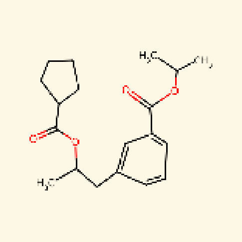 CC(C)OC(=O)c1cccc(CC(C)OC(=O)C2CCCC2)c1